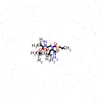 C=CCOC(=O)N(CC(=O)N[C@H](C(=O)OC(C)(C)C)C(C)C)C(CC(C)C)C(N)=S